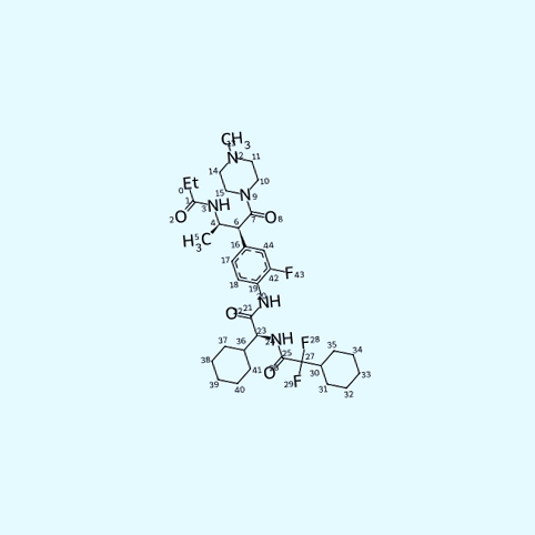 CCC(=O)N[C@H](C)[C@@H](C(=O)N1CCN(C)CC1)c1ccc(NC(=O)[C@@H](NC(=O)C(F)(F)C2CCCCC2)C2CCCCC2)c(F)c1